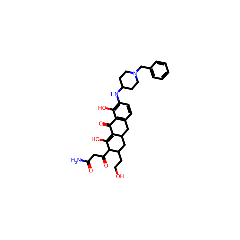 NC(=O)CC(=O)C1C(O)=C2C(=O)c3c(ccc(NC4CCN(Cc5ccccc5)CC4)c3O)CC2CC1CCO